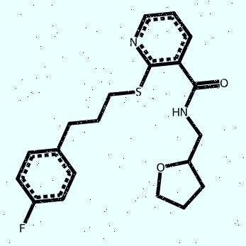 O=C(NCC1CCCO1)c1cccnc1SCCCc1ccc(F)cc1